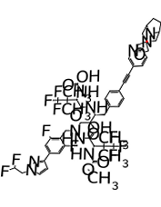 COC(=O)N[C@H](C(=O)NN(Cc1c(F)cc(-c2ccn(CC(F)F)n2)cc1F)C[C@H](O)[C@H](Cc1ccc(C#Cc2ccc(N3CC4CCC(C3)N4C3COC3)nc2)cc1)NC(=O)[C@@H](NC(=O)O)C(C)(C)C(F)(F)F)C(C)(C)C(F)(F)F